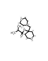 CC(C)C(=O)OC1(CN2CCOCC2)CCOCC1